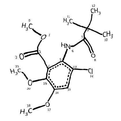 COC(=O)c1c(NC(=O)C(C)(C)C)c(Cl)cc(OC)c1OC